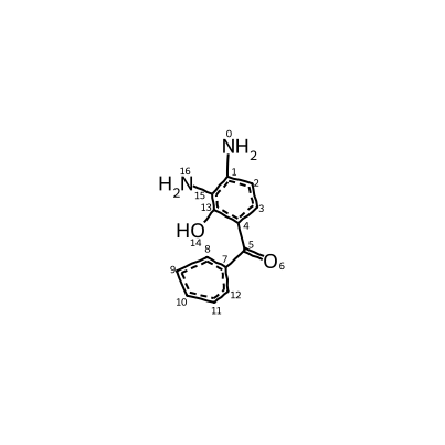 Nc1ccc(C(=O)c2ccccc2)c(O)c1N